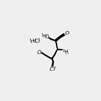 Cl.[2H]C(C(=O)O)C(Cl)Cl